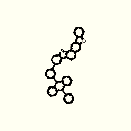 C1=c2sc3c(ccc4cc5oc6ccccc6c5cc43)c2=CC(c2cccc(-c3c4ccccc4c(-c4ccccc4)c4ccccc34)c2)C1